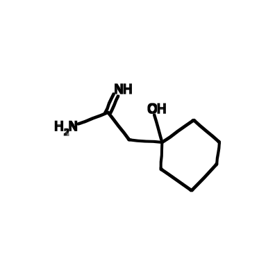 N=C(N)CC1(O)CCCCC1